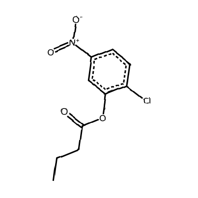 CCCC(=O)Oc1cc([N+](=O)[O-])ccc1Cl